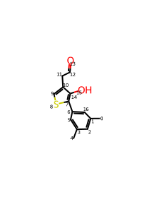 Cc1cc(C)cc(-c2scc(CC=O)c2O)c1